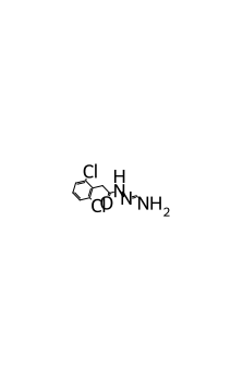 NC=NNC(=O)Cc1c(Cl)cccc1Cl